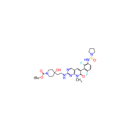 Cn1c(=O)c(-c2c(F)ccc(N[S+]([O-])N3CCCC3)c2F)cc2cnc(NCCC3(O)CCN(C(=O)OC(C)(C)C)CC3)nc21